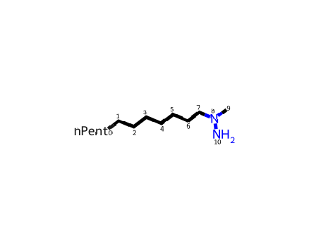 CCCCCCCCCCCCN(C)N